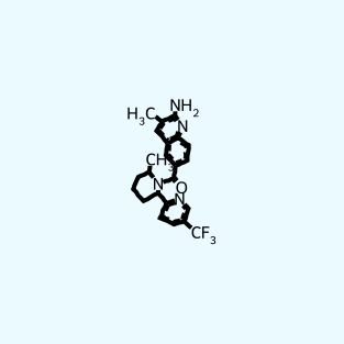 Cc1cc2cc(C(=O)N3C(C)CCCC3c3ccc(C(F)(F)F)cn3)ccc2nc1N